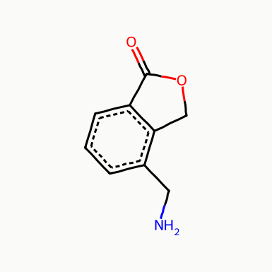 NCc1cccc2c1COC2=O